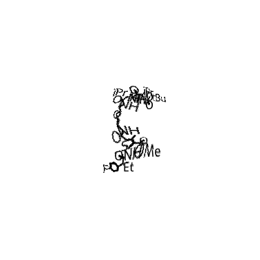 CCC(C(=O)Nc1sc(C(=O)NCCOCCNC(=O)C(NC(=O)C(NC(=O)OC(C)(C)C)C(C)C)C(C)C)c(C)c1C(=O)OC)c1ccc(F)cc1